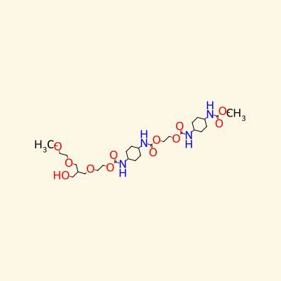 COCCOCC(CO)COCCOC(=O)NC1CCC(NC(=O)OCCOC(=O)NC2CCC(NC(=O)OC)CC2)CC1